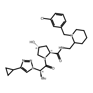 CC(C)(C)[C@H](C(=O)N1C[C@H](O)C[C@H]1C(=O)NCC1CCCCN1Cc1cccc(Cl)c1)n1cc(C2CC2)nn1